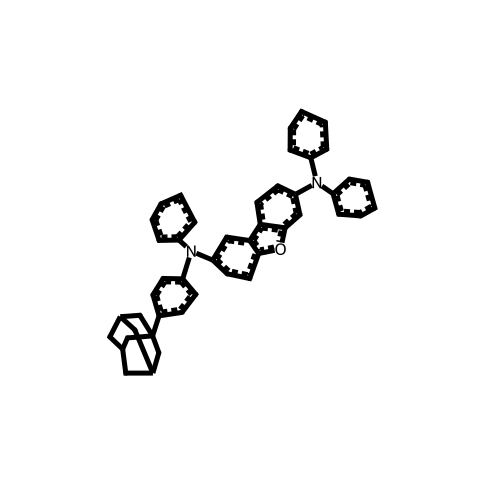 c1ccc(N(c2ccccc2)c2ccc3c(c2)oc2ccc(N(c4ccccc4)c4ccc(C56CC7CC(CC(C7)C5)C6)cc4)cc23)cc1